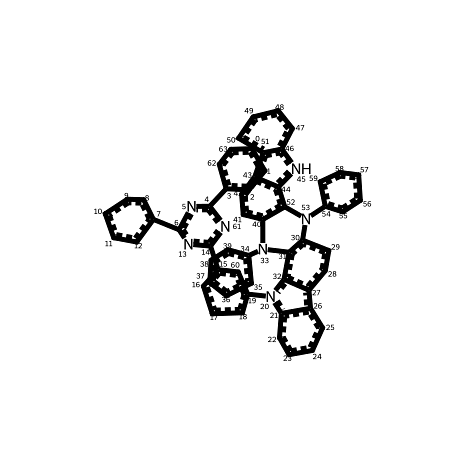 c1ccc(-c2nc(-c3ccccc3)nc(-c3cccc(-n4c5ccccc5c5ccc6c(c54)N(c4ccccc4)c4ccc5c([nH]c7ccccc75)c4N6c4ccccc4)c3)n2)cc1